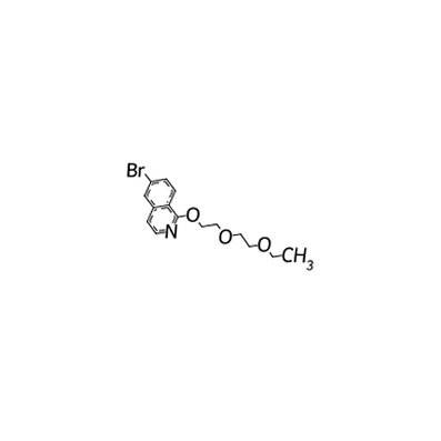 CCOCCOCCOc1nccc2cc(Br)ccc12